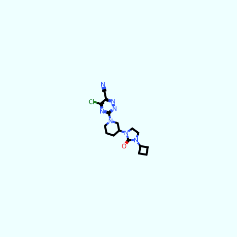 N#Cc1nnc(N2CCCC(N3CCN(C4CCC4)C3=O)C2)nc1Cl